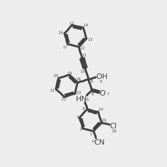 N#Cc1ccc(NC(=O)C(O)(C#Cc2ccccc2)c2ccccc2)cc1Cl